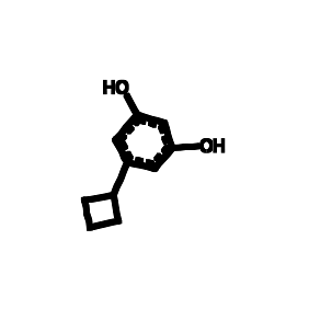 Oc1cc(O)cc(C2CCC2)c1